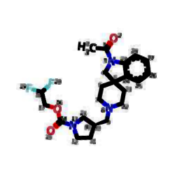 CC(=O)N1CC2(CCN(C[C@H]3CCN(C(=O)OCC(F)F)C3)CC2)c2ccccc21